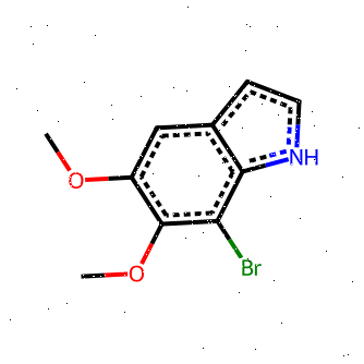 COc1cc2cc[nH]c2c(Br)c1OC